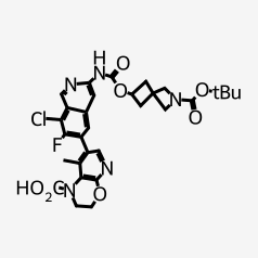 Cc1c(-c2cc3cc(NC(=O)OC4CC5(C4)CN(C(=O)OC(C)(C)C)C5)ncc3c(Cl)c2F)cnc2c1N(C(=O)O)CCO2